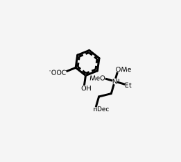 CCCCCCCCCCCC[N+](CC)(OC)OC.O=C([O-])c1ccccc1O